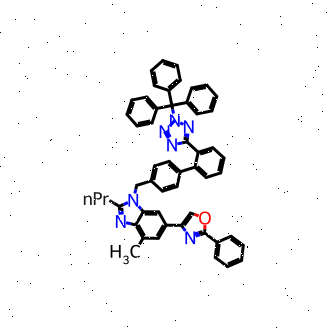 CCCc1nc2c(C)cc(-c3coc(-c4ccccc4)n3)cc2n1Cc1ccc(-c2ccccc2-c2nnn(C(c3ccccc3)(c3ccccc3)c3ccccc3)n2)cc1